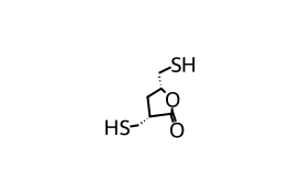 O=C1O[C@@H](CS)C[C@H]1CS